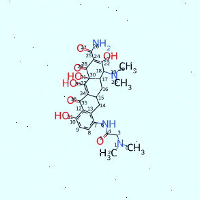 CN(C)CC(=O)Nc1ccc(O)c2c1CC1CC3C(N(C)C)C(O)=C(C(N)=O)C(=O)C3(O)C(O)=C1C2=O